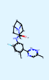 Cc1cnc(-c2cc(NC(=O)N3C4CC(C)CC3C4)c(F)cc2C)nn1